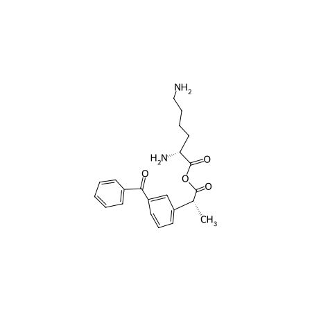 C[C@@H](C(=O)OC(=O)[C@H](N)CCCCN)c1cccc(C(=O)c2ccccc2)c1